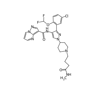 CNC(=O)CCCN1CCC(n2cc(NC(=O)c3cnn4cccnc34)c(-c3cc(Cl)ccc3OC(F)F)n2)CC1